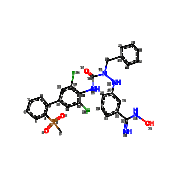 CS(=O)(=O)c1ccccc1-c1cc(F)c(NC(=O)N(Cc2ccccc2)Nc2cccc(C(=N)NO)c2)c(F)c1